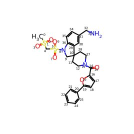 CS(=O)(=O)CS(=O)(=O)N1CC2(CCN(C(=O)c3ccc(-c4ccccc4)o3)CC2)c2cc(CN)ccc21